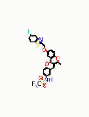 Cc1oc2ccc(OCc3nc4cc(F)ccc4s3)cc2c(=O)c1Cc1cccc(NS(=O)(=O)C(F)(F)F)c1